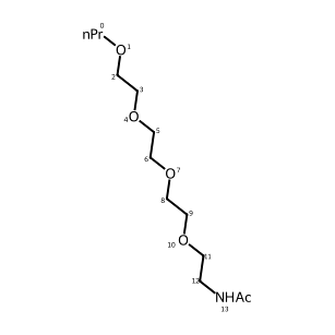 CCCOCCOCCOCCOCCNC(C)=O